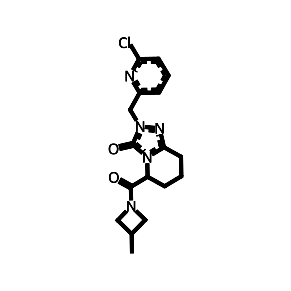 CC1CN(C(=O)C2CCCc3nn(Cc4cccc(Cl)n4)c(=O)n32)C1